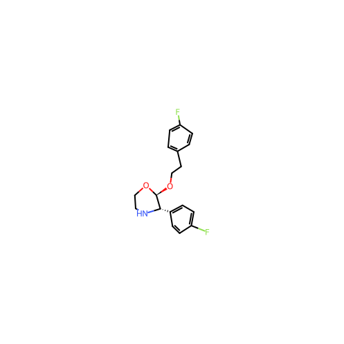 Fc1ccc(CCO[C@@H]2OCCN[C@H]2c2ccc(F)cc2)cc1